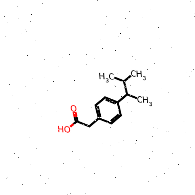 CC(C)C(C)c1ccc(CC(=O)O)cc1